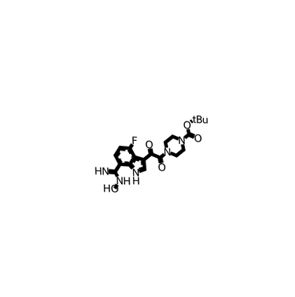 CC(C)(C)OC(=O)N1CCN(C(=O)C(=O)c2c[nH]c3c(C(=N)NO)ccc(F)c23)CC1